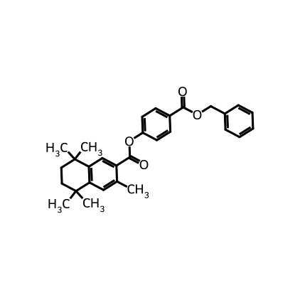 Cc1cc2c(cc1C(=O)Oc1ccc(C(=O)OCc3ccccc3)cc1)C(C)(C)CCC2(C)C